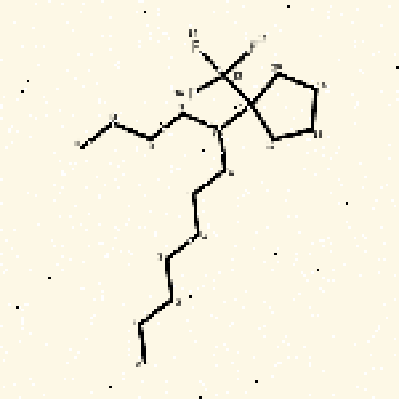 CCCCCCCC(CCCC)C1(C(F)(F)F)CCCC1